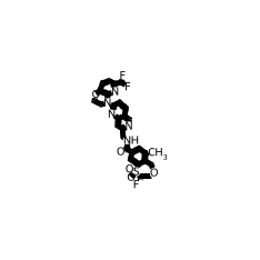 Cc1cc(C(=O)NCc2cc3nc(N4CCOc5ccc(C(F)F)nc54)ccc3cn2)cc2c1COC[C@H](F)S2(=O)=O